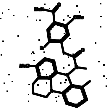 CNC(=O)c1cc(Br)c(CC(=O)N(C)N(c2ccc(OC)cc2)c2c(C)cccc2N2CCCCC2)cc1OC